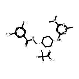 Cc1nc(N[C@H]2CC[C@@H](CNC(=O)c3cc(C(F)(F)F)cc(C(F)(F)F)c3)CC2)cc(N(C)C)n1.O=C(O)C(F)(F)F